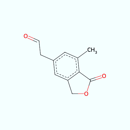 Cc1cc(CC=O)cc2c1C(=O)OC2